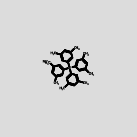 Cc1cc(C)c[c]([Al-]([c]2cc(C)cc(C)c2)([c]2cc(C)cc(C)c2)[c]2cc(C)cc(C)c2)c1.[Na+]